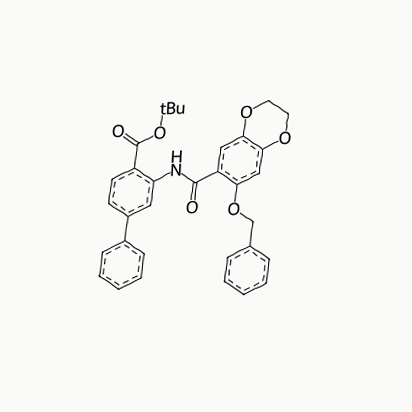 CC(C)(C)OC(=O)c1ccc(-c2ccccc2)cc1NC(=O)c1cc2c(cc1OCc1ccccc1)OCCO2